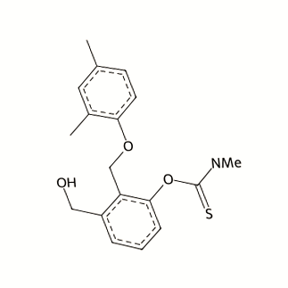 CNC(=S)Oc1cccc(CO)c1COc1ccc(C)cc1C